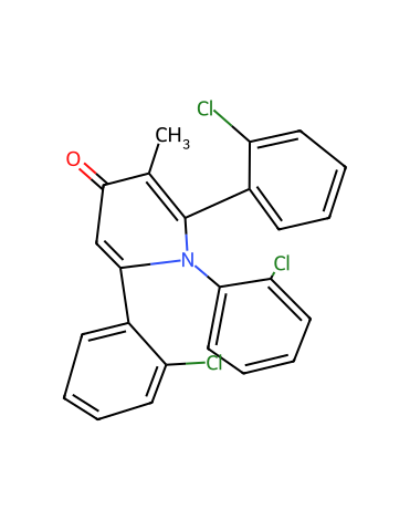 Cc1c(-c2ccccc2Cl)n(-c2ccccc2Cl)c(-c2ccccc2Cl)cc1=O